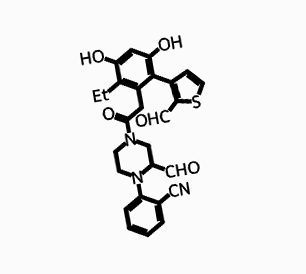 CCc1c(O)cc(O)c(-c2ccsc2C=O)c1CC(=O)N1CCN(c2ccccc2C#N)C(C=O)C1